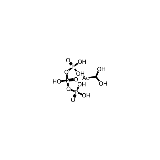 CC(=O)C(O)O.O=P(O)(O)OP(=O)(O)OP(=O)(O)O